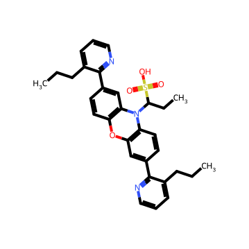 CCCc1cccnc1-c1ccc2c(c1)Oc1ccc(-c3ncccc3CCC)cc1N2C(CC)S(=O)(=O)O